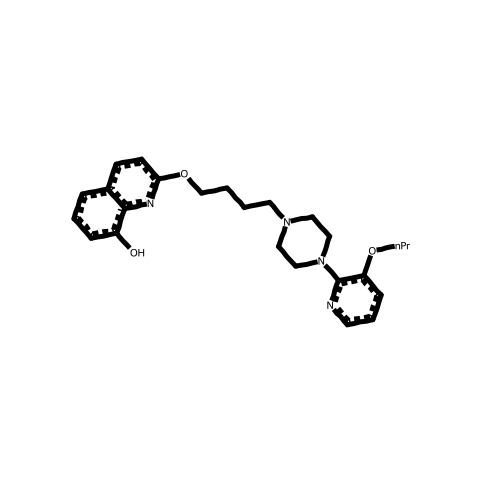 CCCOc1cccnc1N1CCN(CCCCOc2ccc3cccc(O)c3n2)CC1